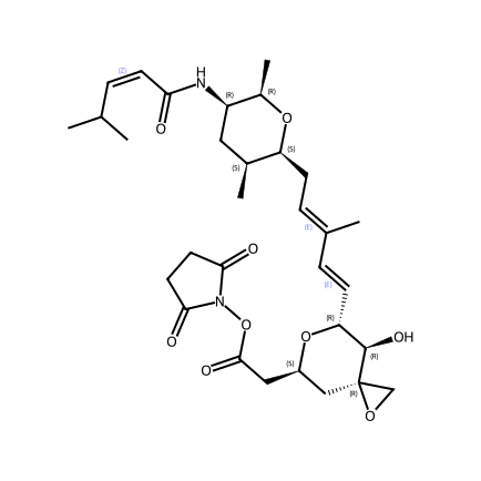 CC(/C=C/[C@H]1O[C@H](CC(=O)ON2C(=O)CCC2=O)C[C@@]2(CO2)[C@@H]1O)=C\C[C@@H]1O[C@H](C)[C@H](NC(=O)/C=C\C(C)C)C[C@@H]1C